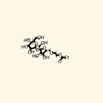 CCC(=O)OCCOC[C@H]1O[C@@](CO)(O[C@H]2OC(CO)[C@@H](O)[C@H](O)C2O)[C@H](O)C1O